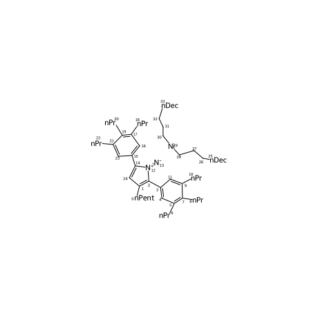 CCCCCC1=C(c2cc(CCC)c(CCC)c(CCC)c2)[N+](=[N-])C(c2cc(CCC)c(CCC)c(CCC)c2)=C1.CCCCCCCCCCCC[CH2][Ni][CH2]CCCCCCCCCCCC